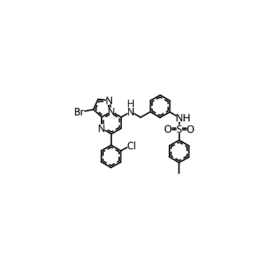 Cc1ccc(S(=O)(=O)Nc2cccc(CNc3cc(-c4ccccc4Cl)nc4c(Br)cnn34)c2)cc1